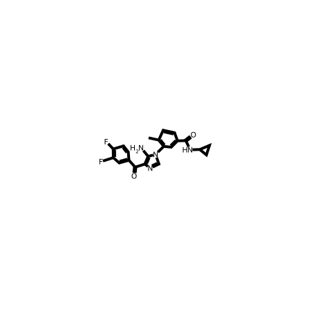 Cc1ccc(C(=O)NC2CC2)cc1-n1cnc(C(=O)c2ccc(F)c(F)c2)c1N